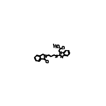 O=C(O)Cn1c(SCCCN2Cc3ccccc3C2=O)nc2ccccc21